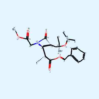 C[C@@H](C(=O)OCc1ccccc1)[C@@H]1[C@@H]([C@@](C)(O[SiH](C)C)C(C)(C)C)C(=O)N1CC(=O)OC(C)(C)C